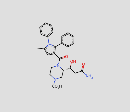 Cc1cc(C(=O)N2CCN(C(=O)O)C[C@H]2C(O)CC(N)=O)c(-c2ccccc2)n1-c1ccccc1